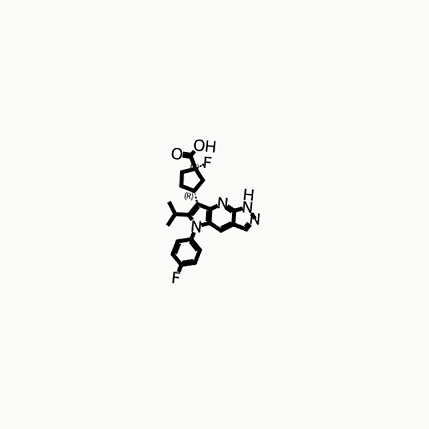 CC(C)c1c([C@@H]2CC[C@@](F)(C(=O)O)C2)c2nc3[nH]ncc3cc2n1-c1ccc(F)cc1